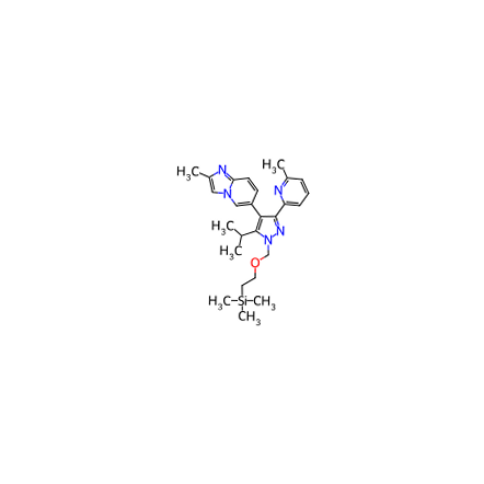 Cc1cccc(-c2nn(COCC[Si](C)(C)C)c(C(C)C)c2-c2ccc3nc(C)cn3c2)n1